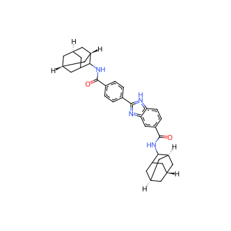 O=C(NC1C2C[C@H]3C[C@@H](C2)C[C@@H]1C3)c1ccc(-c2nc3cc(C(=O)NC4C5C[C@H]6C[C@@H](C5)C[C@@H]4C6)ccc3[nH]2)cc1